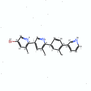 Cc1cc(-c2ncc(-c3ncc(Br)cc3C)cc2C)ccc1-c1cccnc1